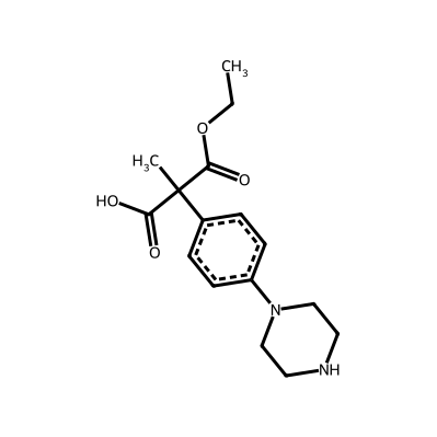 CCOC(=O)C(C)(C(=O)O)c1ccc(N2CCNCC2)cc1